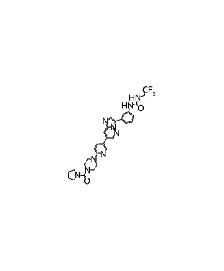 O=C(NCC(F)(F)F)Nc1cccc(-c2cnc3cc(-c4ccc(N5CCN(C(=O)N6CCCC6)CC5)nc4)cnn23)c1